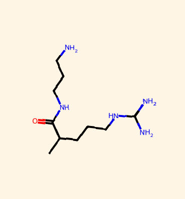 CC(CCCNC(N)N)C(=O)NCCCN